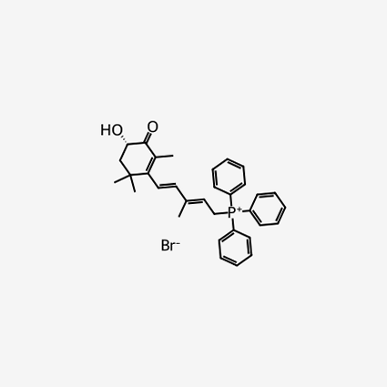 CC1=C(/C=C/C(C)=C/C[P+](c2ccccc2)(c2ccccc2)c2ccccc2)C(C)(C)C[C@H](O)C1=O.[Br-]